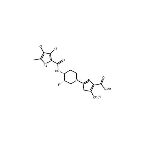 CNC(=O)c1nc(N2CC[C@@H](NC(=O)c3[nH]c(C)c(Cl)c3Cl)[C@@H](F)C2)sc1C(=O)O